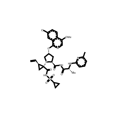 C=C[C@@H]1C[C@@]1(C(=O)NS(=O)(=O)C1CC1)N1C[C@H](Oc2ncc(OC)c3ccc(Cl)cc23)C[C@H]1C(=O)NC(=O)[C@H](Nc1cccc(C)n1)C(C)(C)C